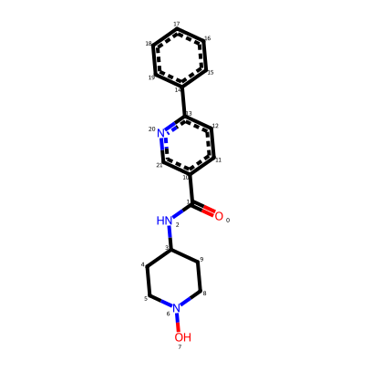 O=C(NC1CCN(O)CC1)c1ccc(-c2ccccc2)nc1